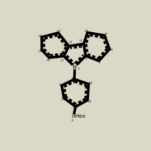 CCCCCCc1ccc(-n2c3ccccc3c3ccccc32)cc1